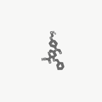 CCOc1ccc(N(C=O)c2cnc(C(=O)O)c(OCc3ccccc3)c2)cc1